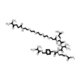 CC(C)C(=O)CCC(=O)NCCOCCOCCOCCOCCC(=O)N[C@H](CCC(=O)O)C(=O)N[C@H](C(=O)N[C@@H](CCCNC(N)=O)C(=O)Nc1ccc(COC(=O)C(C)C)cc1)C(C)C